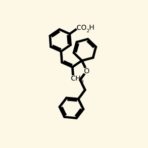 CC(=Cc1cccc(C(=O)O)c1)C1(OCCc2ccccc2)C=CC=CC1